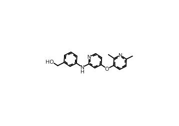 Cc1ccc(Oc2ccnc(Nc3cccc(CO)c3)c2)c(C)n1